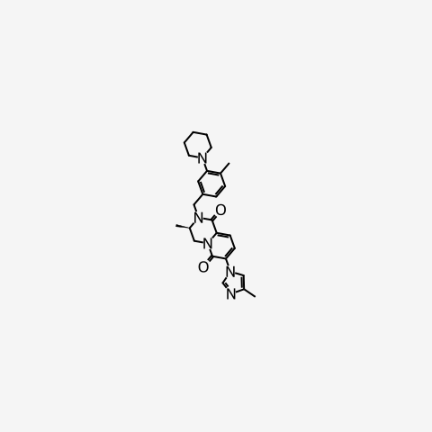 Cc1cn(-c2ccc3n(c2=O)C[C@@H](C)N(Cc2ccc(C)c(N4CCCCC4)c2)C3=O)cn1